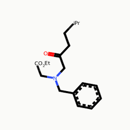 CCOC(=O)CN(CC(=O)CCC(C)C)Cc1ccccc1